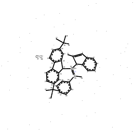 CC1=Cc2ccccc2[CH]1/[Zr+2]([CH]1c2cc(C(C)(C)C)ccc2-c2ccc(C(C)(C)C)cc21)=[Si](\C)c1ccccc1.[Cl-].[Cl-]